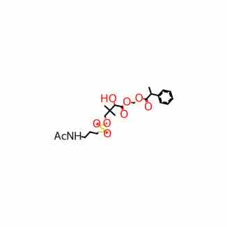 CC(=O)NCCCS(=O)(=O)OCC(C)(C)[C@@H](O)C(=O)OCOC(=O)C(C)c1ccccc1